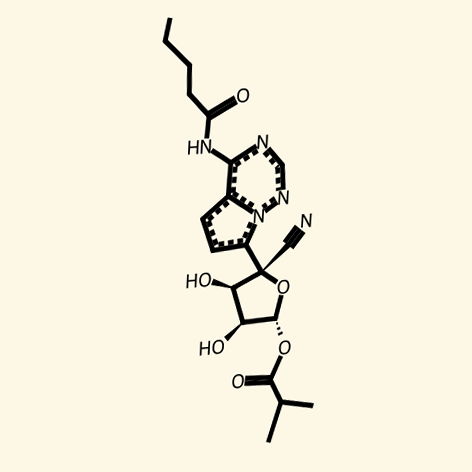 CCCCC(=O)Nc1ncnn2c([C@]3(C#N)O[C@H](OC(=O)C(C)C)[C@@H](O)[C@H]3O)ccc12